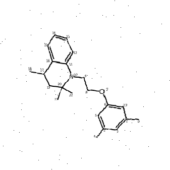 Cc1cc(C)cc(OCCN2c3ccccc3C(C)CC2(C)C)c1